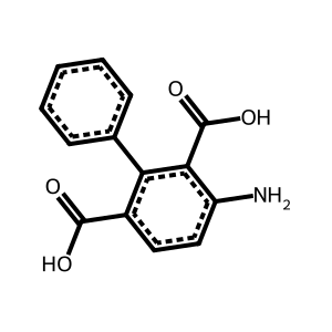 Nc1ccc(C(=O)O)c(-c2ccccc2)c1C(=O)O